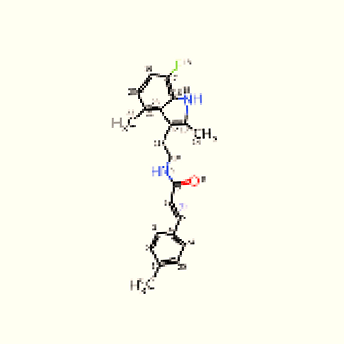 Cc1ccc(/C=C/C(=O)NCCc2c(C)[nH]c3c(F)ccc(C)c23)cc1